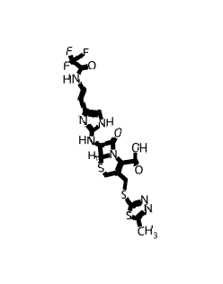 Cc1nnc(SCC2=C(C(=O)O)N3C(=O)C(Nc4nc(CCNC(=O)C(F)(F)F)c[nH]4)[C@@H]3SC2)s1